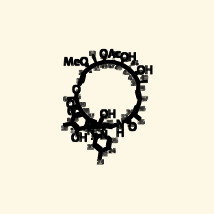 CO[C@H]1/C=C/O[C@@]2(C)Oc3c(C)c(O)c4c(O)c(c5c(nc6cc(C)ccn65)c4c3C2=O)NC(=O)/C(C)=C\C=C\[C@H](C)C(O)[C@@H](C)[C@@H](O)[C@@H](C)[C@H](OC(C)=O)[C@@H]1C